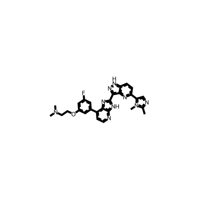 Cc1ncc(-c2ccc3[nH]nc(-c4nc5c(-c6cc(F)cc(OCCN(C)C)c6)ccnc5[nH]4)c3n2)n1C